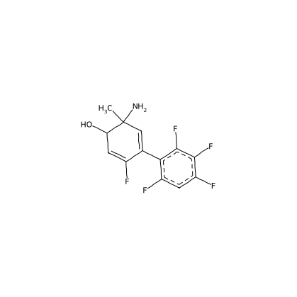 CC1(N)C=C(c2c(F)cc(F)c(F)c2F)C(F)=CC1O